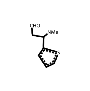 CNC(CC=O)c1cccs1